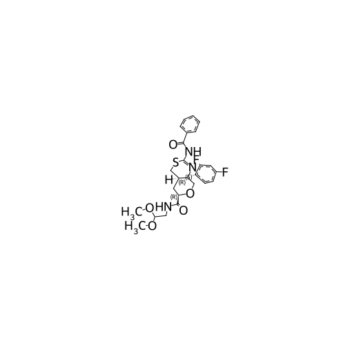 COC(CNC(=O)[C@H]1C[C@H]2CSC(NC(=O)c3ccccc3)=N[C@@]2(c2ccc(F)cc2F)CO1)OC